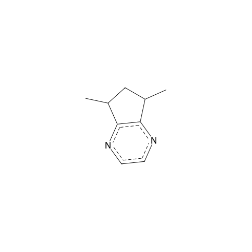 CC1CC(C)c2nccnc21